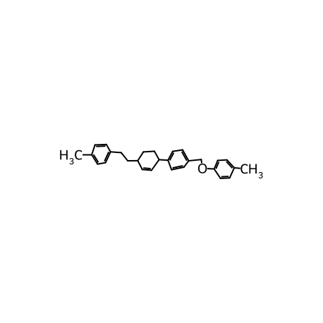 Cc1ccc(CCC2C=CC(c3ccc(COc4ccc(C)cc4)cc3)CC2)cc1